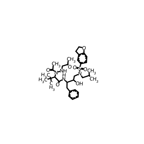 CC(=O)CNN(C(C)=O)C(C(=O)NC(Cc1ccccc1)C(O)CN(CC(C)C)S(=O)(=O)c1ccc2c(c1)CCO2)C(C)(C)C